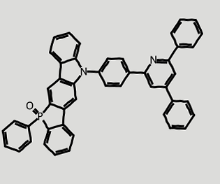 O=P1(c2ccccc2)c2ccccc2-c2cc3c(cc21)c1ccccc1n3-c1ccc(-c2cc(-c3ccccc3)cc(-c3ccccc3)n2)cc1